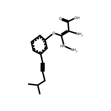 CC(C)CC#Cc1cccc(O/C(NN)=C(/N)C(=O)O)c1